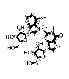 Nc1nc2c(ncn2[C@@H]2O[C@H](CO)[C@@H](O)[C@H]2O)c(=O)[nH]1.OC[C@H]1O[C@@H](n2cnc3c(S)ncnc32)[C@H](O)[C@@H]1O